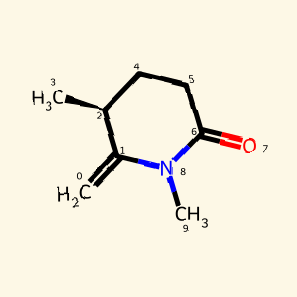 C=C1[C@@H](C)CCC(=O)N1C